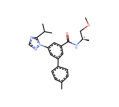 COC[C@@H](C)NC(=O)c1cc(-c2ccc(C)cc2)cc(-n2ncnc2C(C)C)c1